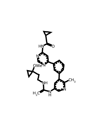 C=C(NCCC1(OC)CC1)Nc1cnc(C)c(-c2cccc(-c3cc(NC(=O)C4CC4)ncn3)c2)c1